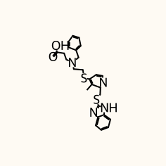 Cc1c(SCCN(CCC(=O)O)Cc2ccccc2)ccnc1CSc1nc2ccccc2[nH]1